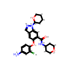 Nc1ccc(Oc2cc3cnn(C4CCCCO4)c3cc2C(=O)NC2CCOCC2)c(F)c1